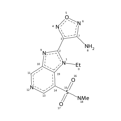 CCn1c(-c2nonc2N)nc2cncc(S(=O)(=O)NC)c21